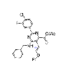 CCO/C=C/c1c(NCc2ccccc2)nc(-c2ccc(Cl)c(F)c2)nc1C(=O)OC